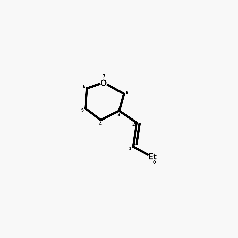 CC/C=C/C1CCCOC1